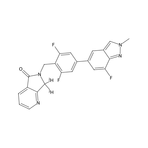 [2H]C1([2H])c2ncccc2C(=O)N1Cc1c(F)cc(-c2cc(F)c3nn(C)cc3c2)cc1F